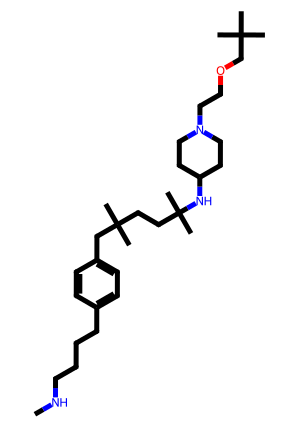 CNCCCCc1ccc(CC(C)(C)CCC(C)(C)NC2CCN(CCOCC(C)(C)C)CC2)cc1